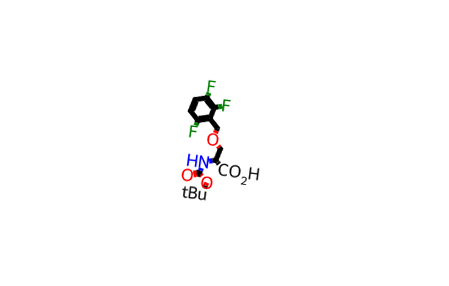 CC(C)(C)OC(=O)NC(COCc1c(F)ccc(F)c1F)C(=O)O